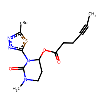 CC#CCCC(=O)OC1CCN(C)C(=O)N1c1nnc(CCCC)s1